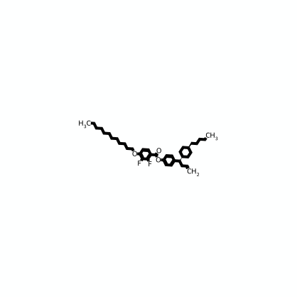 C=CCC(c1ccc(OC(=O)c2ccc(OCCCCCCCCCCCC)c(F)c2F)cc1)[C@H]1CC[C@H](CCCCC)CC1